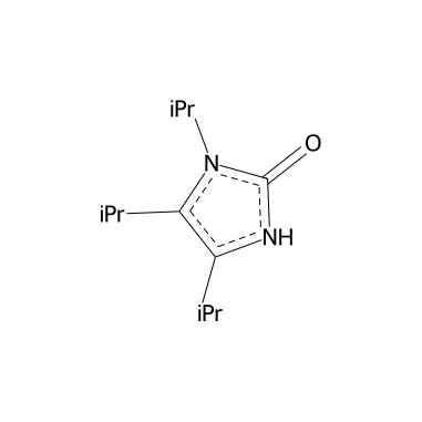 CC(C)c1[nH]c(=O)n(C(C)C)c1C(C)C